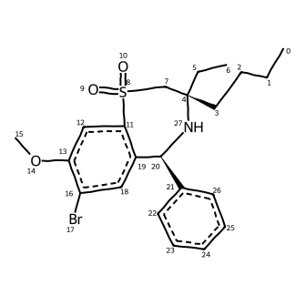 CCCC[C@]1(CC)CS(=O)(=O)c2cc(OC)c(Br)cc2[C@H](c2ccccc2)N1